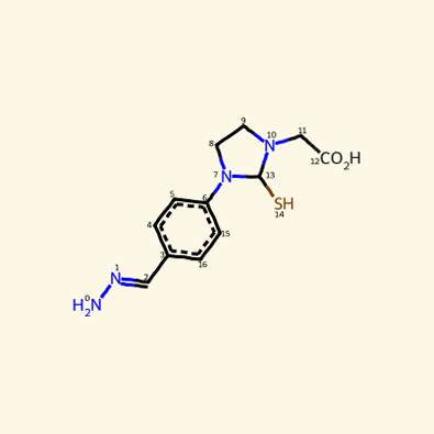 NN=Cc1ccc(N2CCN(CC(=O)O)C2S)cc1